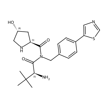 CC(C)(C)[C@H](N)C(=O)N(Cc1ccc(-c2cncs2)cc1)C(=O)[C@@H]1C[C@@H](O)CN1